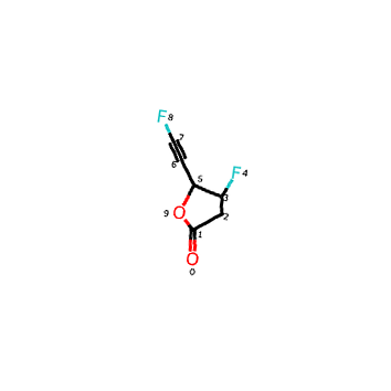 O=C1CC(F)C(C#CF)O1